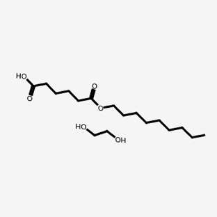 CCCCCCCCCOC(=O)CCCCC(=O)O.OCCO